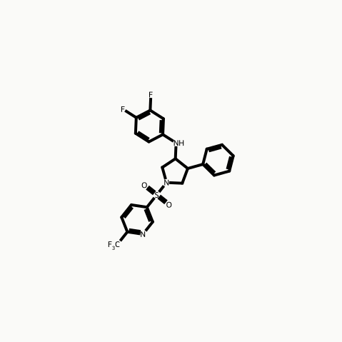 O=S(=O)(c1ccc(C(F)(F)F)nc1)N1CC(Nc2ccc(F)c(F)c2)C(c2ccccc2)C1